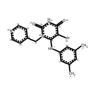 Cc1cc(C)cc(Nc2c(C(C)C)c(=O)[nH]c(=O)n2Cc2ccncc2)c1